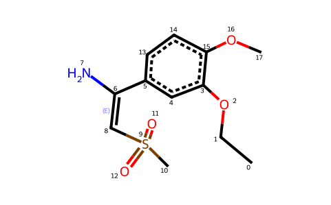 CCOc1cc(/C(N)=C\S(C)(=O)=O)ccc1OC